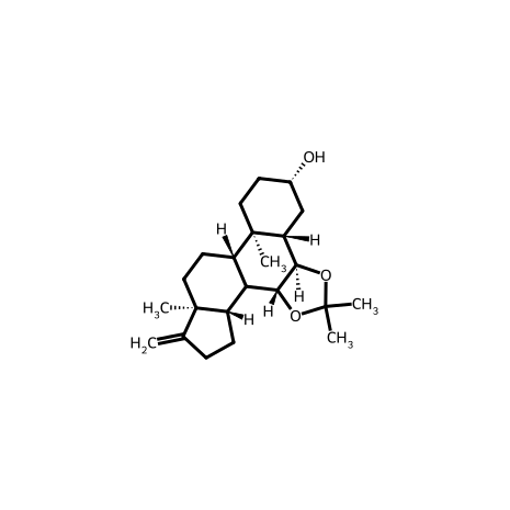 C=C1CC[C@H]2C3[C@H]4OC(C)(C)O[C@@H]4[C@H]4C[C@@H](O)CC[C@]4(C)[C@H]3CC[C@]12C